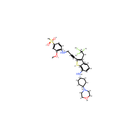 COc1cc(S(C)(=O)=O)ccc1NCC#Cc1sc2c(N[C@H]3CC[C@H](N4CCOCC4)CC3)cccc2c1CC(F)(F)F